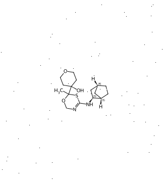 CC1(C2(O)CCOCC2)OCN=C(N[C@H]2C[C@@H]3CC[C@H]2C3)S1